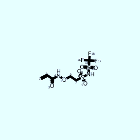 C=CC(=O)NOCCS(=O)(=O)NS(=O)(=O)C(F)(F)F